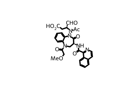 COCC(=O)N1C[C@H](NC(=O)c2nccc3ccccc23)C(=O)N(N(C(C)=O)[C@H](C=O)CC(=O)O)c2ccccc21